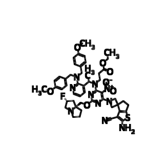 CCOC(=O)CCN(c1nc(OC[C@@]23CCCN2C[C@H](F)C3)nc(N2CC3(CCc4sc(N)c(C#N)c43)C2)c1[N+](=O)[O-])C(C)c1cccnc1N(Cc1ccc(OC)cc1)Cc1ccc(OC)cc1